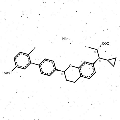 COc1ccc(F)c(-c2ccc([C@@H]3CCc4ccc([C@H](C5CC5)[C@H](C)C(=O)[O-])cc4O3)cc2)c1.[Na+]